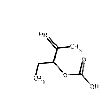 CCC(OC(=O)O)C(C)=N